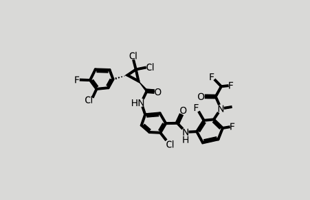 CN(C(=O)C(F)F)c1c(F)ccc(NC(=O)c2cc(NC(=O)[C@H]3[C@H](c4ccc(F)c(Cl)c4)C3(Cl)Cl)ccc2Cl)c1F